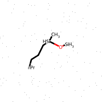 CCCCCC[SiH](C)O[SiH3]